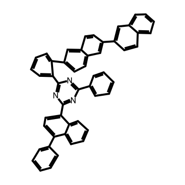 c1ccc(-c2nc(-c3ccccc3-c3ccc4cc(-c5ccc6ccccc6c5)ccc4c3)nc(-c3ccc(-c4ccccc4)c4ccccc34)n2)cc1